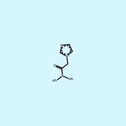 CCCN(CCC)C(=O)Cn1c[c]nc1